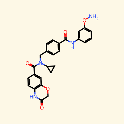 NOc1cccc(NC(=O)c2ccc(CN(C(=O)c3ccc4c(c3)OCC(=O)N4)C3CC3)cc2)c1